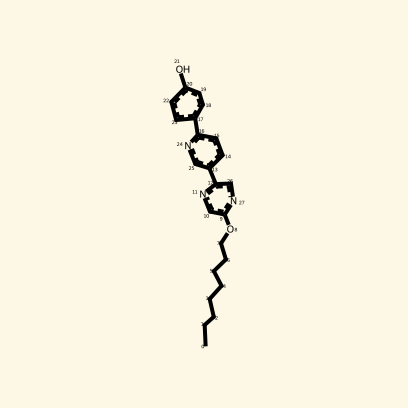 CCCCCCCCOc1cnc(-c2ccc(-c3ccc(O)cc3)nc2)cn1